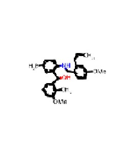 Bc1ccc(NCc2ccc(OC)cc2/C=C\C)c(C(O)c2cccc(OC)c2C)c1